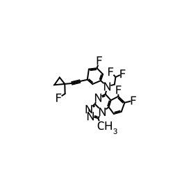 Cc1nnc2nc(N(CC(F)F)c3cc(F)cc(C#CC4(CF)CC4)c3)c3c(F)c(F)ccc3n12